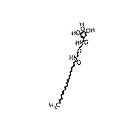 CCC=CCC=CCC=CCC=CCC=CCC=CCCC(=O)NCCOCCNC(=O)c1cc(O)c(O)c(O)c1